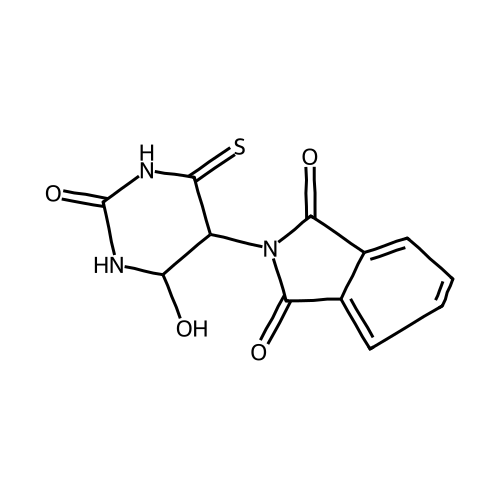 O=C1NC(=S)C(N2C(=O)c3ccccc3C2=O)C(O)N1